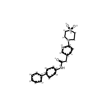 O=C(Cc1ccc(N2CCS(=O)(=O)CC2)nc1)Nc1ccc(-c2ccccc2)cc1